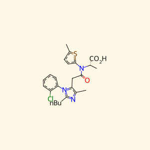 CCCCc1nc(C)c(CC(=O)N(c2ccc(C)s2)[C@@H](C)C(=O)O)n1-c1ccccc1Cl